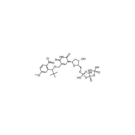 COc1ccc([N+](=O)[O-])c(C(OCc2cn([C@H]3C[C@H](O)[C@@H](COP(=O)(O)OP(=O)(O)OP(=O)(O)O)O3)c(=O)[nH]c2=O)C(C)(C)C)c1